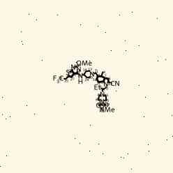 CC[C@@H](Cn1c(C#N)cc2c(C)c(CN3CCC(Nc4nc(OC)nc5sc(CC(F)(F)F)cc45)CC3)ccc21)N1CCN(S(=O)(=O)NC)CC1